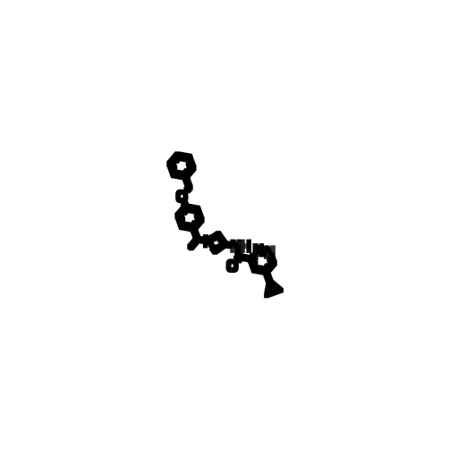 CC(c1ccc(OCc2ccccc2)cc1)N1CC(NC(=O)c2cc(C3CC3)cnn2)C1